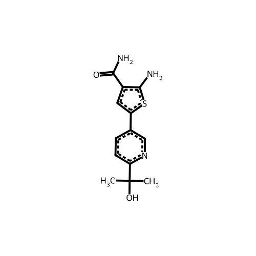 CC(C)(O)c1ccc(-c2cc(C(N)=O)c(N)s2)cn1